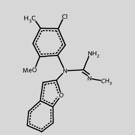 CN=C(N)N(c1cc2ccccc2o1)c1cc(Cl)c(C)cc1OC